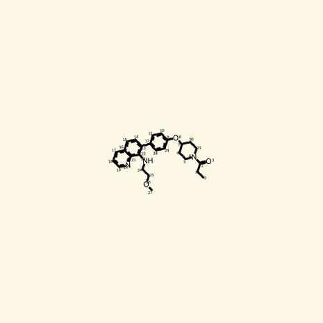 CCC(=O)N1CCC(Oc2ccc(-c3ccc4cccnc4c3NCCOC)cc2)CC1